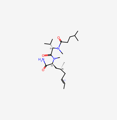 C/C=C/C[C@@H](C)C[C@@H](C(N)=O)N(C)C(=O)[C@H](C(C)C)N(C)C(=O)CCC(C)C